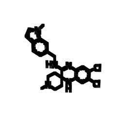 CN1CCC2(CC1)Nc1cc(Cl)c(Cl)cc1N=C2NCc1ccc2ccn(C)c2c1